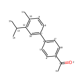 CC(=O)c1ccc(-c2ccc(C)c(C(C)C)c2)cc1